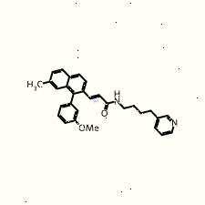 COc1cccc(-c2c(/C=C/C(=O)NCCCCc3cccnc3)ccc3ccc(C)cc23)c1